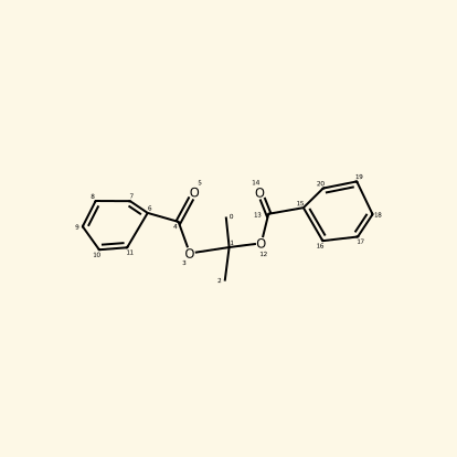 CC(C)(OC(=O)c1ccccc1)OC(=O)c1ccccc1